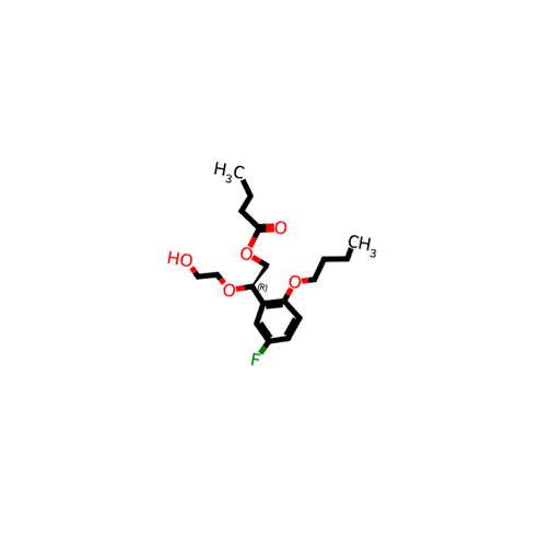 CCCCOc1ccc(F)cc1[C@H](COC(=O)CCC)OCCO